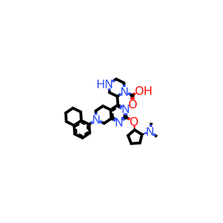 CN(C)[C@H]1CCC[C@H]1Oc1nc2c(c(C3CNCCN3C(=O)O)n1)CCN(c1cccc3c1CCCC3)C2